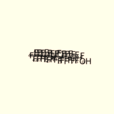 OC(F)C(F)(F)C(F)(F)C(F)(F)C(F)(F)C(F)(F)C(F)(F)C(F)(F)C(F)(F)C(F)(F)C(F)(F)C(F)(F)C(F)(F)C(F)(F)F